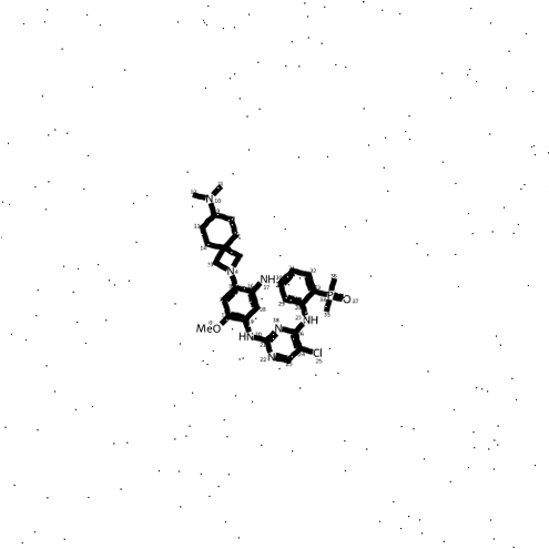 COc1cc(N2CC3(CCC(N(C)C)CC3)C2)c(N)cc1Nc1ncc(Cl)c(Nc2ccccc2P(C)(C)=O)n1